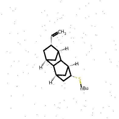 C=C[C@H]1C[C@H]2C[C@@H]1C1C2[C@@H]2C[C@@H](SCCCC)[C@H]1C2